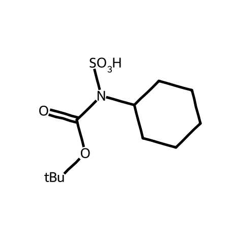 CC(C)(C)OC(=O)N(C1CCCCC1)S(=O)(=O)O